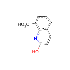 O=C(O)c1cccc2ccc(O)nc12